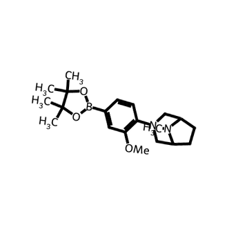 COc1cc(B2OC(C)(C)C(C)(C)O2)ccc1N1CC2CCC(C1)N2C